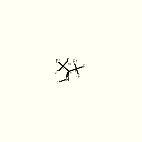 FN=C(C(F)(F)F)C(F)(F)F